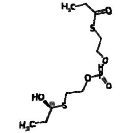 CCC(=O)SCCO[PH](=O)OCCS[C@H](O)CC